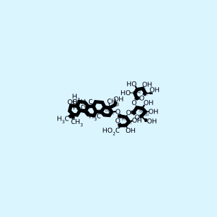 CC1(C)CC2C3=CCC4[C@@]5(C)CC[C@H](OC6O[C@H](C(=O)O)[C@@H](O)[C@H](O)[C@H]6OC6O[C@H](CO)[C@@H](O)[C@H](O)[C@H]6OC6O[C@H](CO)[C@@H](O)[C@H](O)[C@H]6O)[C@](C)(CO)C5CC[C@@]4(C)[C@]3(C)CC[C@@]2(C)[C@H](O)C1